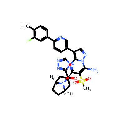 Cc1ccc(-c2ccc(-c3cnn4c(N)c(S(C)(=O)=O)c([C@H]5C[C@H]6CC[C@@H](C5)N6C(=O)c5nnc[nH]5)nc34)cn2)cc1F